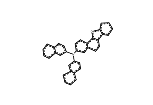 c1ccc2cc(N(c3ccc4ccccc4c3)c3ccc4c(ccc5c6ccccc6oc45)c3)ccc2c1